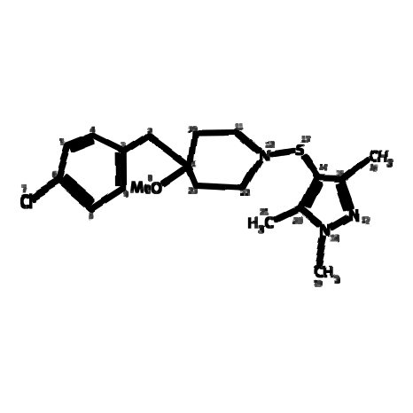 COC1(Cc2ccc(Cl)cc2)CCN(Sc2c(C)nn(C)c2C)CC1